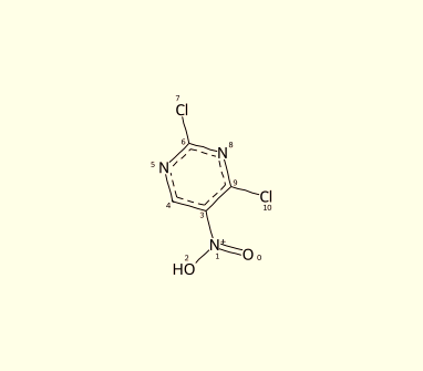 O=[N+](O)c1cnc(Cl)nc1Cl